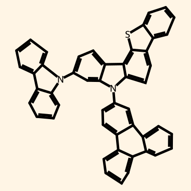 c1ccc2c(c1)sc1c2ccc2c1c1ccc(-n3c4ccccc4c4ccccc43)cc1n2-c1ccc2c3ccccc3c3ccccc3c2c1